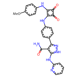 COc1ccc(Nc2c(Nc3ccc(-c4n[nH]c(Nc5ccccn5)c4C(N)=O)cc3)c(=O)c2=O)cc1